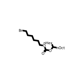 CCCCCCCCC(CCCCCC)OC(=O)OCCCCCCBr